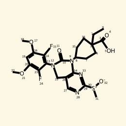 CCC1(C(=O)O)CCC(N2C(=O)N(c3c(F)c(OC)cc(OC)c3F)Cc3cnc([S+](C)[O-])nc32)CC1